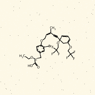 CCO[C@@H](Cc1ccc(OCC=C(C)C#CC2(OCC(F)(F)F)C=CC=C(OCC(F)(F)F)C2)c(Br)c1)C(=O)O